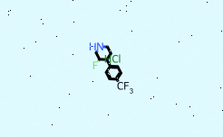 Cl.FC1CNCCC1c1ccc(C(F)(F)F)cc1